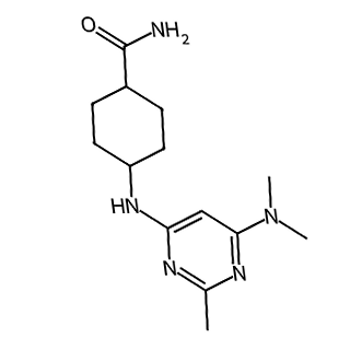 Cc1nc(NC2CCC(C(N)=O)CC2)cc(N(C)C)n1